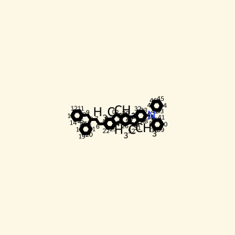 CC1(C)c2cc(CCC(Cc3ccccc3)c3ccccc3)ccc2-c2cc3c(cc21)-c1ccc(N(c2ccccc2)c2ccccc2)cc1C3(C)C